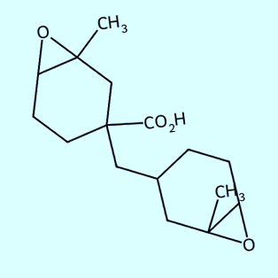 CC12CC(CC3(C(=O)O)CCC4OC4(C)C3)CCC1O2